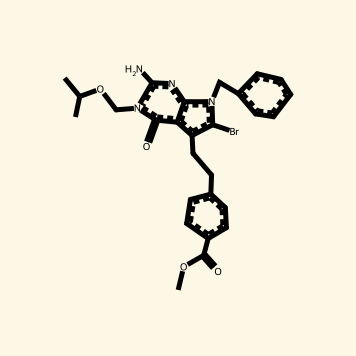 COC(=O)c1ccc(CCc2c(Br)n(Cc3ccccc3)c3nc(N)n(COC(C)C)c(=O)c23)cc1